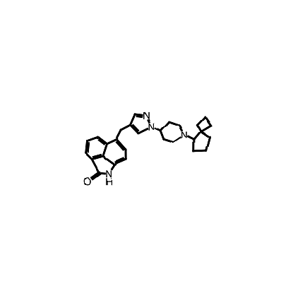 O=C1Nc2ccc(Cc3cnn(C4CCN(C5CCCC56CCC6)CC4)c3)c3cccc1c23